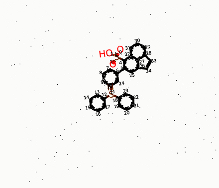 O=S(=O)(O)c1c(-c2cccc([SH](c3ccccc3)c3ccccc3)c2)cc2c3c(cccc13)C=C2